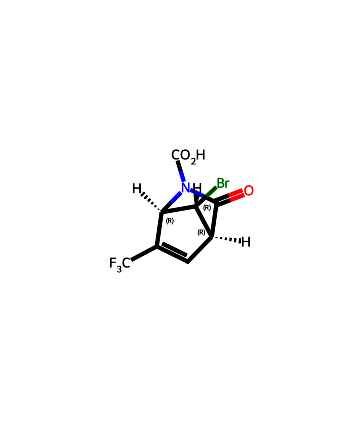 O=C(O)N1C(=O)[C@H]2C=C(C(F)(F)F)[C@@H]1[C@@H]2Br